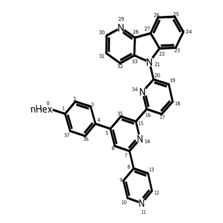 CCCCCCc1ccc(-c2cc(-c3ccncc3)nc(-c3cccc(-n4c5ccccc5c5ncccc54)n3)c2)cc1